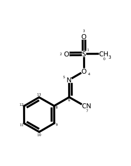 CS(=O)(=O)ON=C(C#N)c1ccccc1